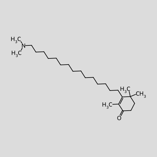 CC1=C(CCCCCCCCCCCCCCCN(C)C)C(C)(C)CCC1=O